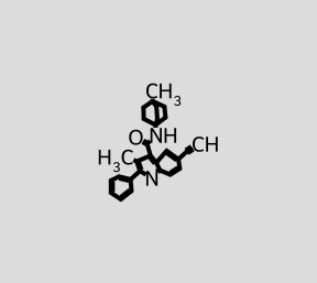 C#Cc1ccc2nc(-c3ccccc3)c(C)c(C(=O)NC34CCC(C)(CC3)CC4)c2c1